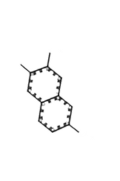 CCOC(=O)c1ccc2cc(O)c(C)cc2c1